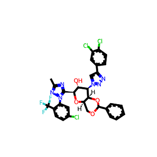 Cc1nc([C@@H]2O[C@@H]3COC(c4ccccc4)O[C@@H]3[C@H](n3cc(-c4ccc(Cl)c(Cl)c4)nn3)[C@H]2O)n(-c2cc(Cl)ccc2C(F)(F)F)n1